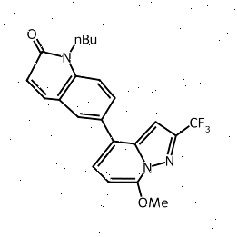 CCCCn1c(=O)ccc2cc(-c3ccc(OC)n4nc(C(F)(F)F)cc34)ccc21